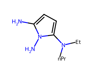 CCCN(CC)c1ccc(N)n1N